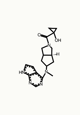 CN(c1ncnc2[nH]ccc12)C1CC2CN(C(=O)C3(O)CC3)C[C@H]2C1